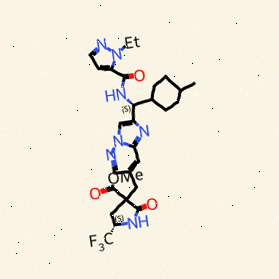 CCn1nccc1C(=O)N[C@H](c1cn2ncc(CC3(C(=O)OC)C[C@@H](C(F)(F)F)NC3=O)cc2n1)C1CCC(C)CC1